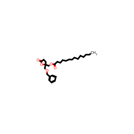 CCCCCCCCCCCCCC(=O)OCC1(COCc2ccccc2)CCC(=O)O1